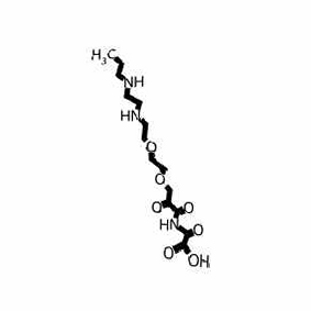 CCCNCCNCCOCCOCC(=O)C(=O)NC(=O)C(=O)O